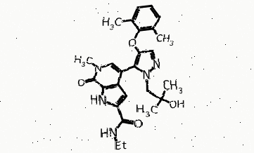 CCNC(=O)c1cc2c(-c3c(Oc4c(C)cccc4C)cnn3CC(C)(C)O)cn(C)c(=O)c2[nH]1